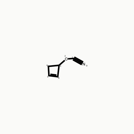 N#COC1C=CC1